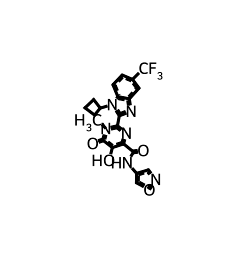 Cn1c(-c2nc3cc(C(F)(F)F)ccc3n2C2CCC2)nc(C(=O)Nc2cnoc2)c(O)c1=O